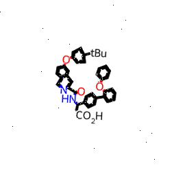 CC(C)(C)c1ccc(Oc2ccc3cnc(C(=O)NC(CC(=O)O)c4ccc(-c5ccccc5Oc5ccccc5)cc4)cc3c2)cc1